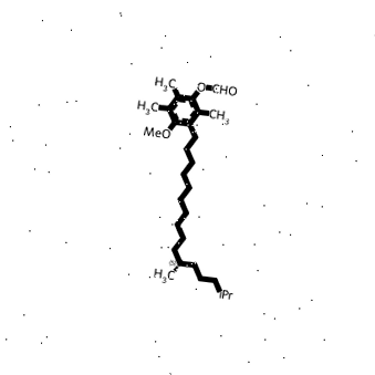 COc1c(C)c(C)c(OC=O)c(C)c1CCCCCCCCCC[C@H](C)CCCC(C)C